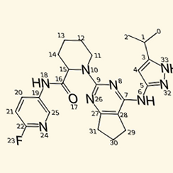 CC(C)c1cc(Nc2nc(N3CCCCC3C(=O)Nc3ccc(F)nc3)nc3c2CCC3)n[nH]1